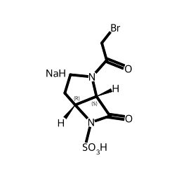 O=C(CBr)N1CC[C@@H]2[C@H]1C(=O)N2S(=O)(=O)O.[NaH]